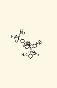 CCN(CC)CCN(C)C(=O)c1ccc(Nc2nccc(N(C(=O)Oc3c(C)cccc3C)c3ccc(-n4cccn4)cc3OC)n2)cc1